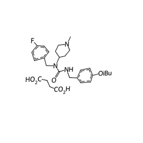 CC(C)COc1ccc(CNC(=O)N(Cc2ccc(F)cc2)C2CCN(C)CC2)cc1.O=C(O)CCC(=O)O